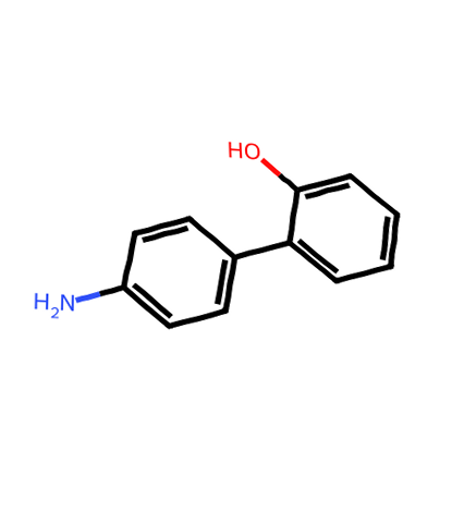 Nc1ccc(-c2ccccc2O)cc1